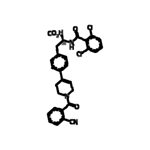 N#Cc1ccccc1C(=O)N1CC=C(c2ccc(C[C@H](NC(=O)c3c(Cl)cccc3Cl)C(=O)O)cc2)CC1